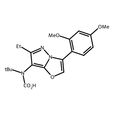 CCc1nn2c(-c3ccc(OC)cc3OC)coc2c1N(C(=O)O)C(C)(C)C